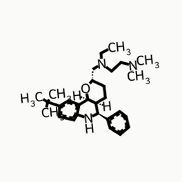 CCN(CCN(C)C)C[C@@H]1CC[C@H]2[C@@H](c3ccccc3)Nc3ccc(C(C)(C)C)cc3[C@H]2O1